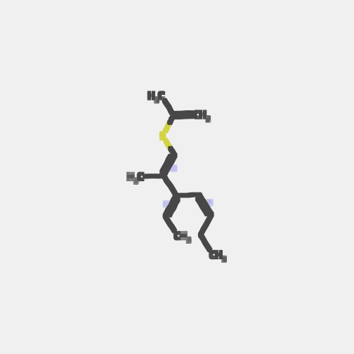 C=C(C)S/C=C(C)/C(/C=C\CC)=C/C